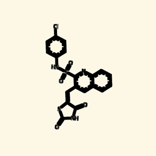 O=C1NC(=O)/C(=C\c2cc3ccccc3nc2S(=O)(=O)Nc2ccc(Cl)cc2)S1